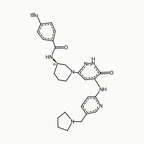 CC(C)(C)c1ccc(C(=O)N[C@@H]2CCCN(c3cc(Nc4ccc(CN5CCCC5)cn4)c(=O)[nH]n3)C2)cc1